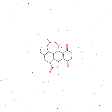 CC1COC2C3=C(C(=O)C=CC3=O)C3OC(=O)C4CC5CCC1C5C2C43